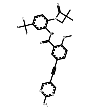 COc1ccc(C#Cc2cnc(N)nc2)cc1C(=O)Nc1cc(C(F)(F)F)ccc1N1CC(C)(C)C1=O